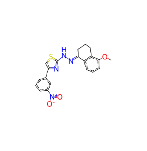 COc1cccc2c1CCCC2=NNc1nc(-c2cccc([N+](=O)[O-])c2)cs1